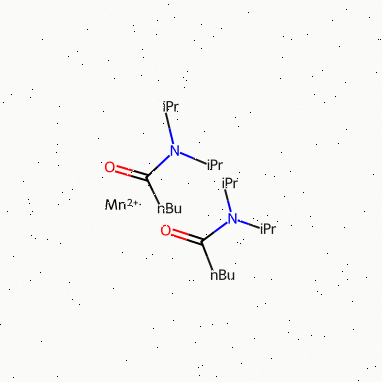 CCCCC(=O)N(C(C)C)C(C)C.CCCCC(=O)N(C(C)C)C(C)C.[Mn+2]